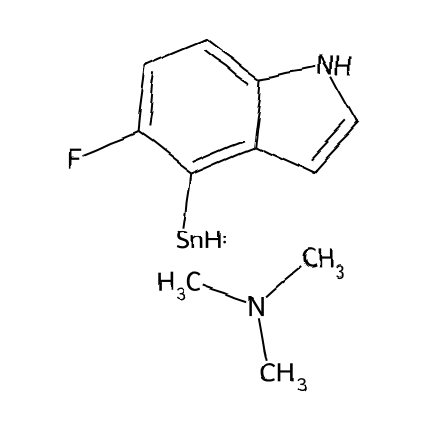 CN(C)C.Fc1ccc2[nH]ccc2[c]1[SnH]